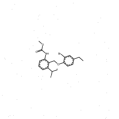 CCc1ccc(OCc2c(NC(=O)OC)cccc2C(F)F)c(Br)c1